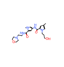 Cc1cc(C(=O)Nc2cc(C(=O)NCCN3CCOCC3)n(C)c2)n(CCCO)c1